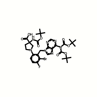 CC(C)(C)OC(=O)NC1(C(=O)O)CCN(c2ccc(F)c(Br)c2Cn2cnc3c(N(C(=O)OC(C)(C)C)C(=O)OC(C)(C)C)ncnc32)C1